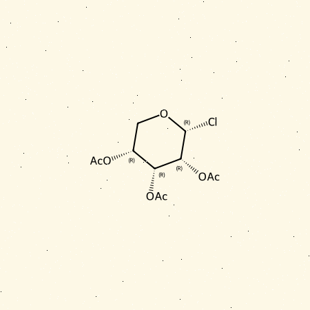 CC(=O)O[C@@H]1[C@H](OC(C)=O)[C@H](OC(C)=O)CO[C@@H]1Cl